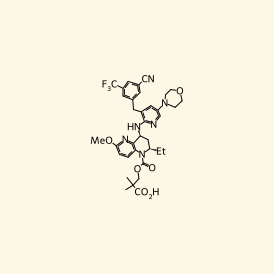 CC[C@@H]1C[C@H](Nc2ncc(N3CCOCC3)cc2Cc2cc(C#N)cc(C(F)(F)F)c2)c2nc(OC)ccc2N1C(=O)OCC(C)(C)C(=O)O